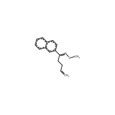 C=CCCC(=NOC)c1ccc2ccccc2c1